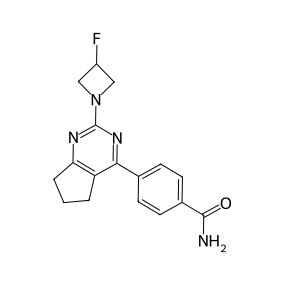 NC(=O)c1ccc(-c2nc(N3CC(F)C3)nc3c2CCC3)cc1